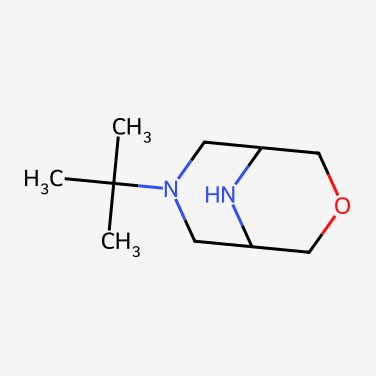 CC(C)(C)N1CC2COCC(C1)N2